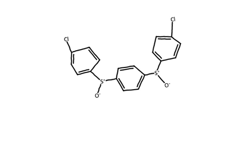 [O-][S+](c1ccc(Cl)cc1)c1ccc([S+]([O-])c2ccc(Cl)cc2)cc1